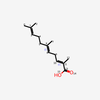 CC(C)=CCC/C(C)=C/C/C=C(\C)C(=O)O